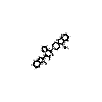 Cc1nc(N2CCC3(CC2)Cc2ncccc2[C@H]3N)c2ccnn2c1-c1cc2ccccc2n1C